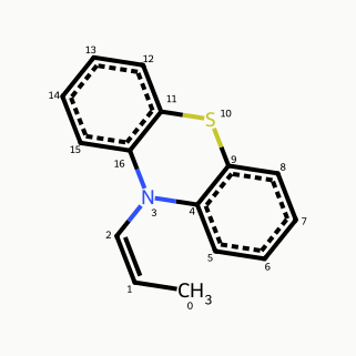 C/C=C\N1c2ccccc2Sc2ccccc21